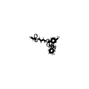 C=CC(=O)OCCCCOC(=O)c1ccc(C)cc1-n1nc2ccccc2n1